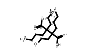 CCCCC(CCC)(C(=O)O)C(CCC)(CCCC)C(=O)O